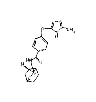 Cc1ccc(Oc2ccc(C(=O)N[C@H]3CN4CCC3CC4)cc2)[nH]1